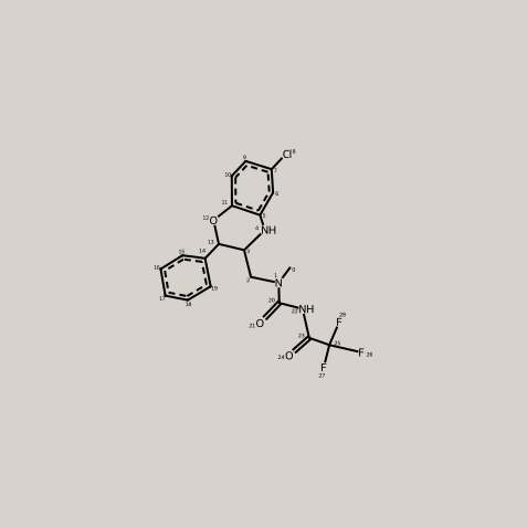 CN(CC1Nc2cc(Cl)ccc2OC1c1ccccc1)C(=O)NC(=O)C(F)(F)F